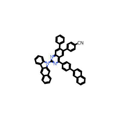 N#Cc1ccc(-c2cc3c(-c4ccc(-c5ccc6ccccc6c5)cc4)nc(-n4c5ccccc5c5cc6ccccc6cc54)nc3cc2-c2ccccc2)cc1